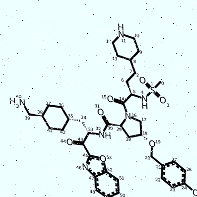 CS(=O)(=O)N[C@H](CCC1CCNCC1)C(=O)N1C[C@H](OCc2ccc(Cl)cc2)C[C@H]1C(=O)N[C@@H](C[C@H]1CC[C@H](CN)CC1)C(=O)c1nc2ccccc2o1